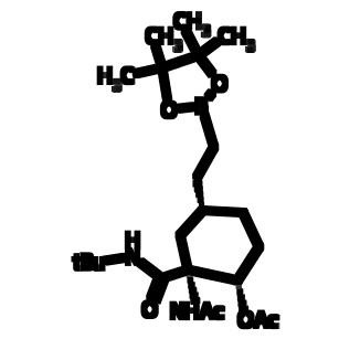 CC(=O)N[C@]1(C(=O)NC(C)(C)C)C[C@H](CCB2OC(C)(C)C(C)(C)O2)CC[C@@H]1OC(C)=O